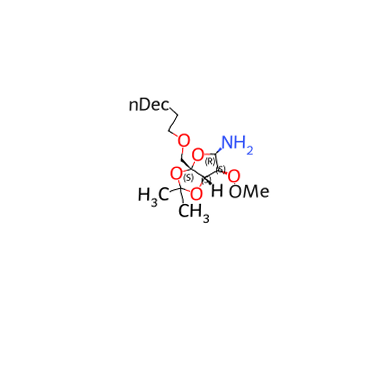 CCCCCCCCCCCCOC[C@@]12O[C@@H](N)[C@@H](OOC)[C@@H]1OC(C)(C)O2